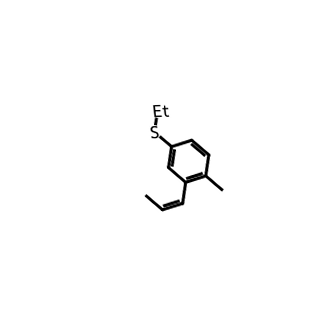 C/C=C\c1cc(SCC)ccc1C